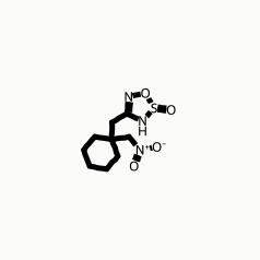 O=[N+]([O-])CC1(CC2=NOS(=O)N2)CCCCC1